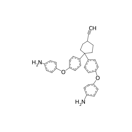 C#CC1CCC(c2ccc(Oc3ccc(N)cc3)cc2)(c2ccc(Oc3ccc(N)cc3)cc2)CC1